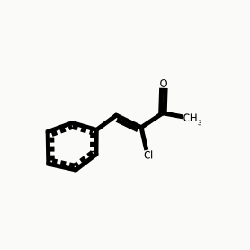 CC(=O)C(Cl)=Cc1ccccc1